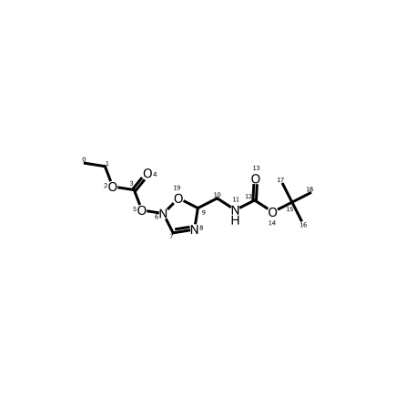 CCOC(=O)ON1C=NC(CNC(=O)OC(C)(C)C)O1